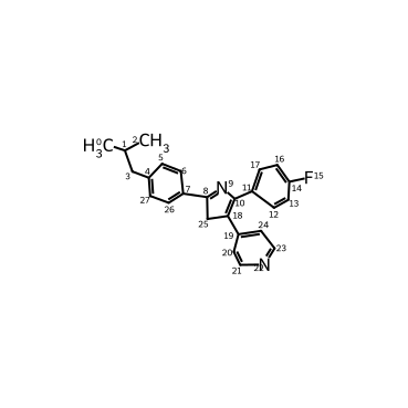 CC(C)Cc1ccc(C2=NC(c3ccc(F)cc3)=C(c3ccncc3)C2)cc1